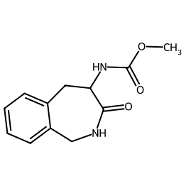 COC(=O)NC1Cc2ccccc2CNC1=O